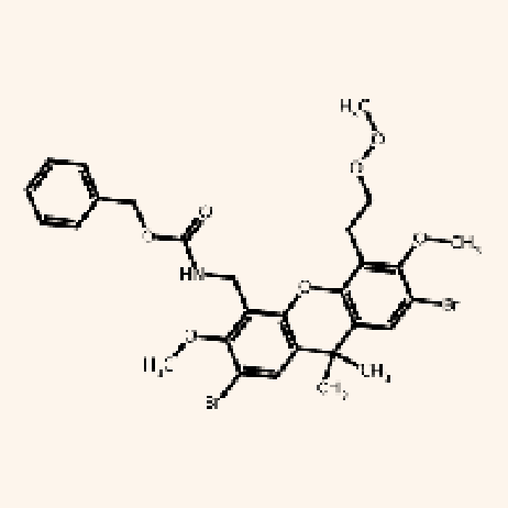 COOCCc1c(OC)c(Br)cc2c1Oc1c(cc(Br)c(OC)c1CNC(=O)OCc1ccccc1)C2(C)C